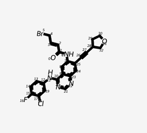 O=C(C=CCBr)Nc1cc2c(Nc3ccc(F)c(Cl)c3)ncnc2cc1C#CC1CCOC1